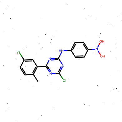 Cc1ccc(Cl)cc1-c1nc(Cl)nc(Nc2ccc(N(O)O)cc2)n1